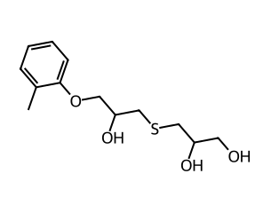 Cc1ccccc1OCC(O)CSCC(O)CO